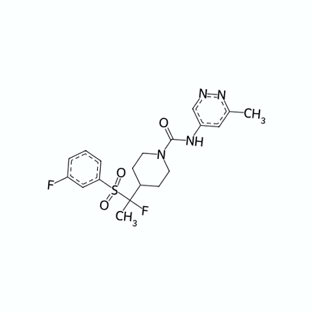 Cc1cc(NC(=O)N2CCC(C(C)(F)S(=O)(=O)c3cccc(F)c3)CC2)cnn1